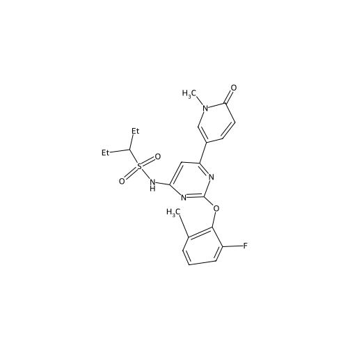 CCC(CC)S(=O)(=O)Nc1cc(-c2ccc(=O)n(C)c2)nc(Oc2c(C)cccc2F)n1